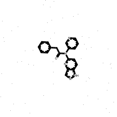 O=C(Cc1ccccc1)N(c1cccnc1)c1ccc2[nH]ncc2n1